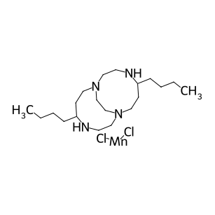 CCCCC1CCN2CCNC(CCCC)CCN(CCN1)CC2.[Cl][Mn][Cl]